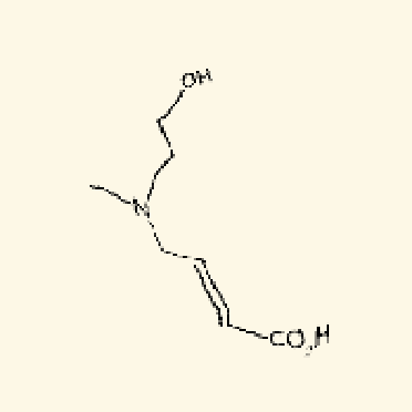 CN(CC=CC(=O)O)CCO